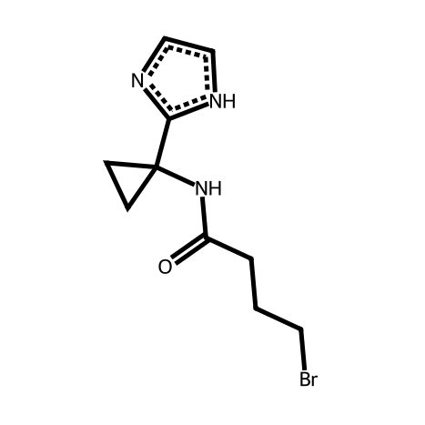 O=C(CCCBr)NC1(c2ncc[nH]2)CC1